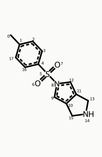 Cc1ccc(S(=O)(=O)n2cc3c(c2)CNC3)cc1